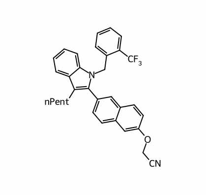 CCCCCc1c(-c2ccc3cc(OCC#N)ccc3c2)n(Cc2ccccc2C(F)(F)F)c2ccccc12